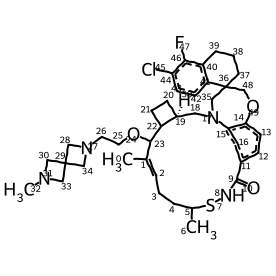 C/C1=C\CCC(C)SNC(=O)c2ccc3c(c2)N(C[C@@H]2CCC2C1OCCN1CC2(CN(C)C2)C1)CC1(CCCc2c1ccc(Cl)c2F)CO3